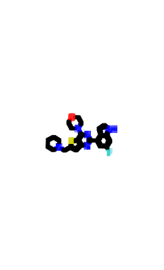 Fc1cc(-c2nc(N3CCOCC3)c3sc(CN4CCCCC4)cc3n2)c2cc[nH]c2c1